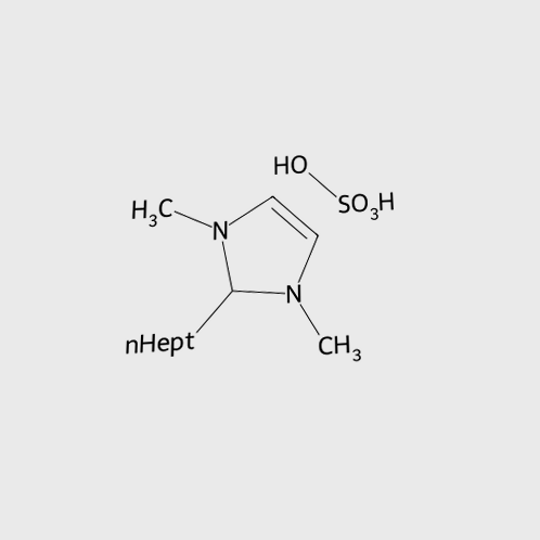 CCCCCCCC1N(C)C=CN1C.O=S(=O)(O)O